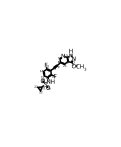 COc1n[nH]c2ncc(C#Cc3c(F)ccc(NS(=O)(=O)C4CC4)c3F)cc12